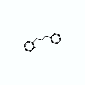 [c]1ccccc1CCCc1ccccc1